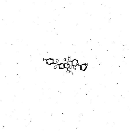 CC(C)c1ccc(S(=O)(=O)c2ccc(F)cc2)cc1S(=O)(=O)NC1CCN(c2cccnc2)CC1